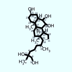 C[C@H](CCCC(C)(O)CO)[C@H]1CC[C@H]2C3C(O)C(O)[C@@H]4C[C@H](O)CC[C@]4(C)[C@H]3CC[C@]12C